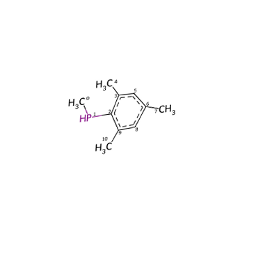 CPc1c(C)cc(C)cc1C